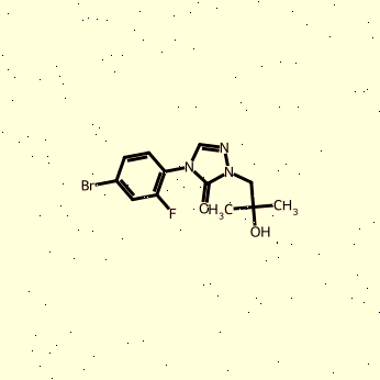 CC(C)(O)Cn1ncn(-c2ccc(Br)cc2F)c1=O